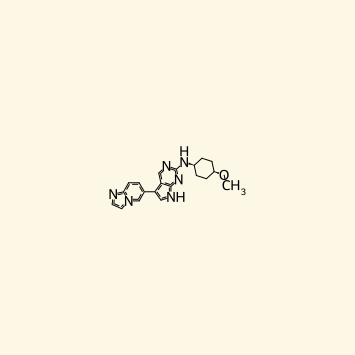 CO[C@H]1CC[C@@H](Nc2ncc3c(-c4ccc5nccn5c4)c[nH]c3n2)CC1